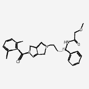 COCC(=O)N[C@@H](CCN1CC2=CN(C(=O)c3c(C)cccc3C)CC2C1)c1ccccc1